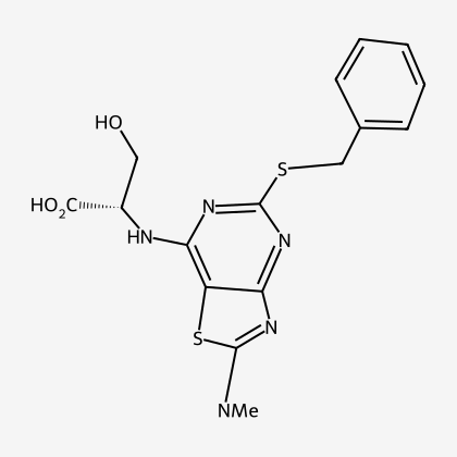 CNc1nc2nc(SCc3ccccc3)nc(N[C@@H](CO)C(=O)O)c2s1